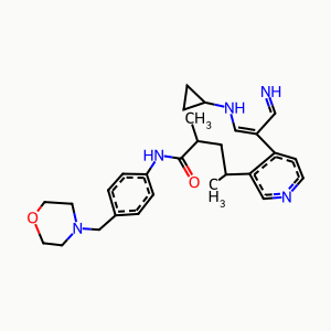 CC(CC(C)c1cnccc1/C(C=N)=C/NC1CC1)C(=O)Nc1ccc(CN2CCOCC2)cc1